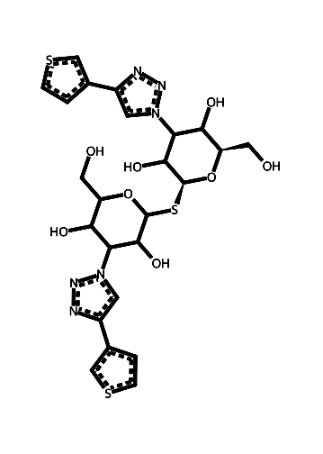 OCC1OC(S[C@@H]2O[C@H](CO)C(O)C(n3cc(-c4ccsc4)nn3)C2O)C(O)C(n2cc(-c3ccsc3)nn2)C1O